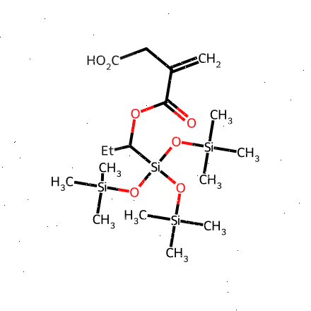 C=C(CC(=O)O)C(=O)OC(CC)[Si](O[Si](C)(C)C)(O[Si](C)(C)C)O[Si](C)(C)C